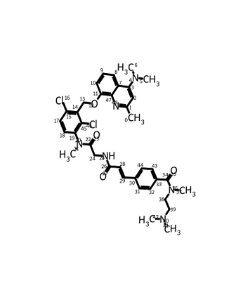 Cc1cc(N(C)C)c2cccc(OCc3c(Cl)ccc(N(C)C(=O)CNC(=O)C=Cc4ccc(C(=O)N(C)CCN(C)C)cc4)c3Cl)c2n1